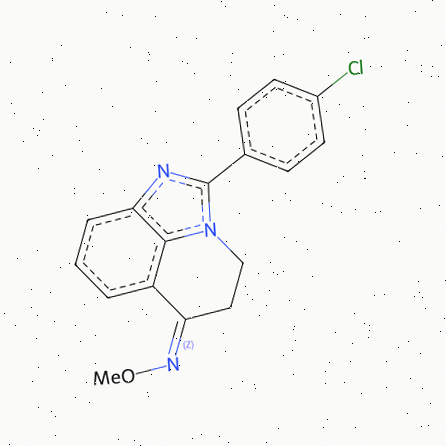 CO/N=C1/CCn2c(-c3ccc(Cl)cc3)nc3cccc1c32